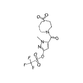 Cn1nc(OS(=O)(=O)C(F)(F)F)cc1C(=O)N1CCS(=O)(=O)CC1